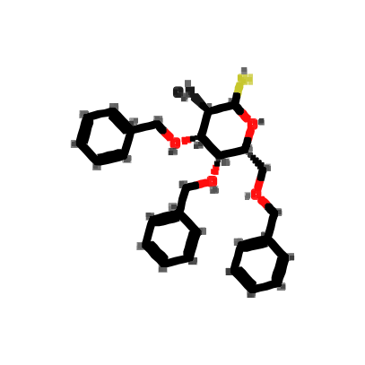 O=[N+]([O-])[C@H]1C(S)O[C@H](COCc2ccccc2)[C@H](OCc2ccccc2)[C@@H]1OCc1ccccc1